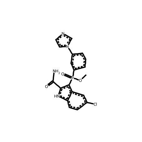 COP(=O)(c1cccc(-n2ccnc2)c1)c1c(C(N)=O)[nH]c2ccc(Cl)cc12